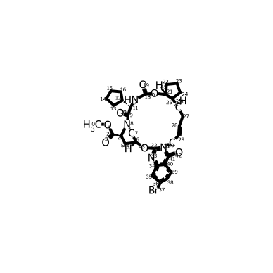 COC(=O)[C@@H]1C[C@@H]2CN1C(=O)[C@H](C1CCCC1)NC(=O)O[C@@H]1CCC[C@H]1CC/C=C/Cn1c(nc3cc(Br)ccc3c1=O)O2